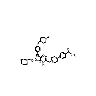 CC(=O)c1ccc(N2CCN(CC(=O)N[C@@H](COOCc3ccccc3)C(=O)Nc3ccc(Oc4ccc(F)cc4)cc3)CC2)cc1